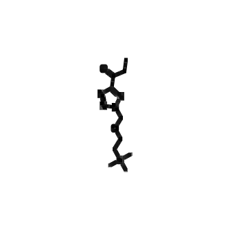 CCC(=O)c1nnn(COCC[Si](C)(C)C)n1